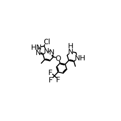 CC1=CC(Oc2cc(C(F)(F)F)ccc2C2=C(C)NCNC2)=NN2C1=NNC2Cl